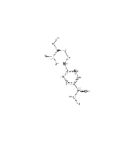 CCN1CCN(c2ncc(C(=O)OC)cn2)CC1C